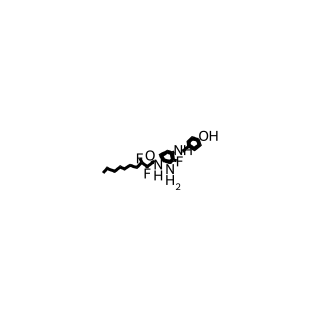 CCCCCCCC(F)C(F)C(=O)Nc1ccc(NCc2ccc(O)cc2)c(F)c1N